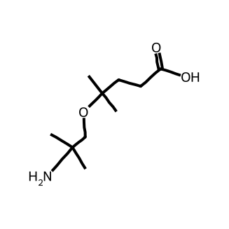 CC(C)(N)COC(C)(C)CCC(=O)O